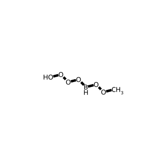 COOBOOOO